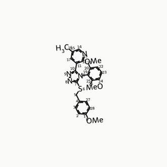 COc1ccc(CSc2nnc(-c3cncc(C)c3)n2-c2c(OC)cccc2OC)cc1